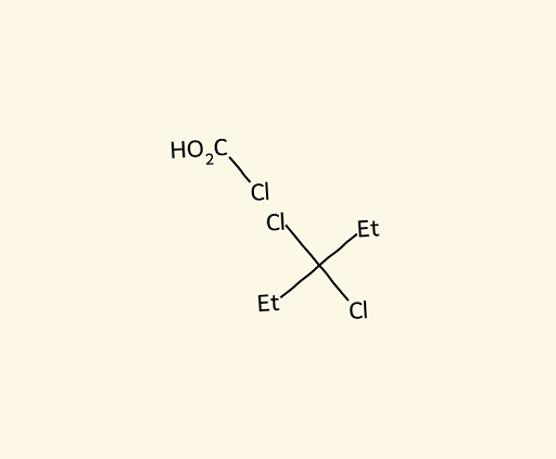 CCC(Cl)(Cl)CC.O=C(O)Cl